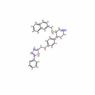 c1ccc(-c2nnc(COc3ccc(C4CCNCC4OCc4ccc5ccccc5c4)cc3)o2)cc1